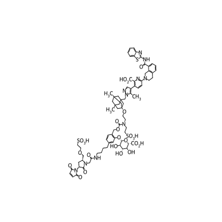 Cc1c(-c2ccc(N3CCc4cccc(C(=O)Nc5nc6ccccc6s5)c4C3)nc2C(=O)O)cnn1CC12CC3(C)CC(C)(C1)CC(OCCN(CCS(=O)(=O)O)C(=O)OCc1ccc(CCCCNC(=O)CN4C(=O)[C@@H](N5C(=O)C=CC5=O)C[C@H]4COCCS(=O)(=O)O)cc1O[C@@H]1O[C@H](C(=O)O)[C@@H](O)[C@H](O)[C@H]1O)(C3)C2